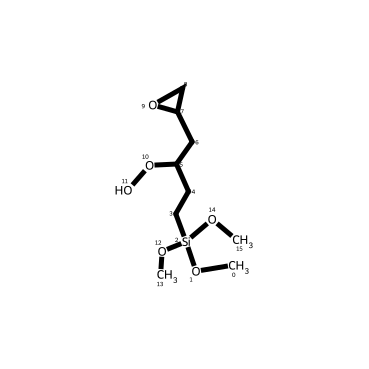 CO[Si](CCC(CC1CO1)OO)(OC)OC